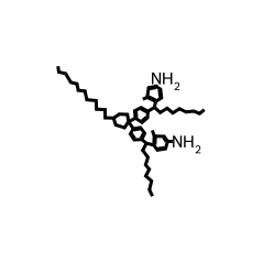 CCCCCCCCCCCCC1CCC(c2ccc(C(CCCCCCCC)c3ccc(N)cc3C)cc2)(c2ccc(C(CCCCCCCC)c3ccc(N)cc3C)cc2)CC1